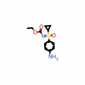 CCOC(=O)N=S(=O)(c1ccc(N)cc1)C1CC1